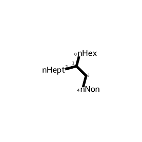 [CH2]CCCCCC(CCCCCCC)CCCCCCCCCC